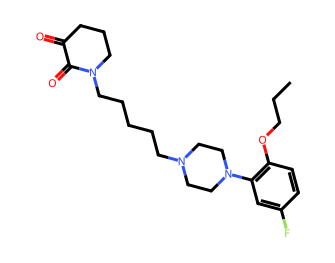 CCCOc1ccc(F)cc1N1CCN(CCCCCN2CCCC(=O)C2=O)CC1